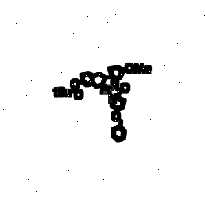 CCN(C(=O)c1ccc(OCc2ccccc2)cn1)c1cc(OC)ccc1C1CCc2cc(OC(=O)C(C)(C)C)ccc2C1